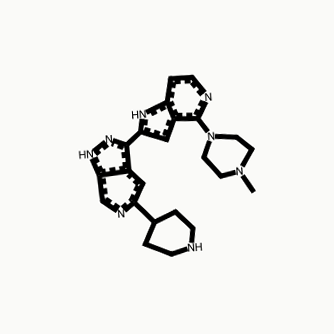 CN1CCN(c2nccc3[nH]c(-c4n[nH]c5cnc(C6CCNCC6)cc45)cc23)CC1